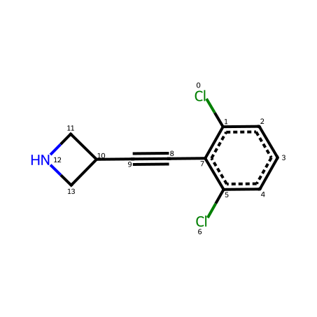 Clc1cccc(Cl)c1C#CC1CNC1